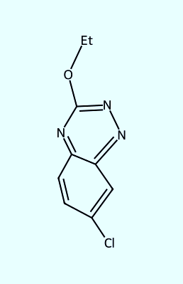 CCOc1nnc2cc(Cl)ccc2n1